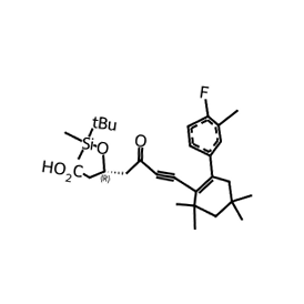 Cc1cc(C2=C(C#CC(=O)C[C@H](CC(=O)O)O[Si](C)(C)C(C)(C)C)C(C)(C)CC(C)(C)C2)ccc1F